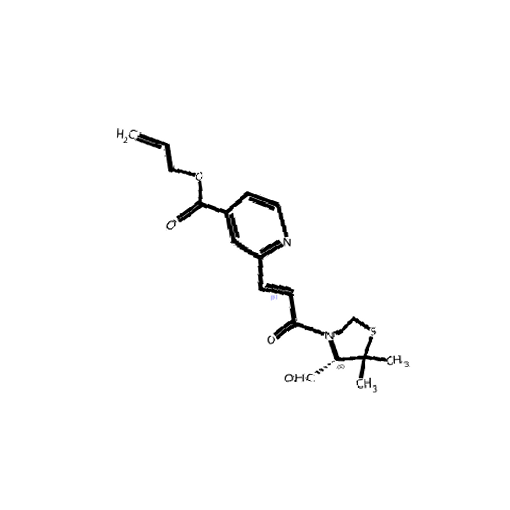 C=CCOC(=O)c1ccnc(/C=C/C(=O)N2CSC(C)(C)[C@@H]2C=O)c1